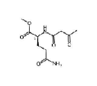 COC(=O)[C@H](CCC(N)=O)NC(=O)CC(C)=O